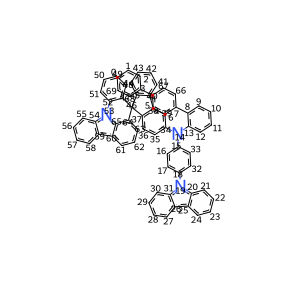 c1ccc(-c2ccc(-c3ccccc3N(c3ccc(-n4c5ccccc5c5ccccc54)cc3)c3ccc4c(c3)-c3ccccc3C43c4ccccc4-n4c5ccccc5c5cccc3c54)cc2)cc1